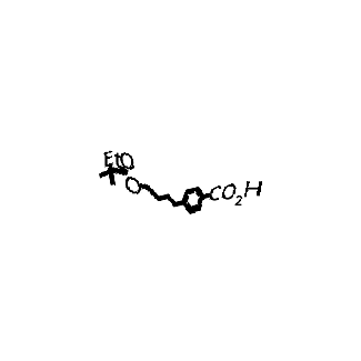 CCC(C)(C)C(=O)OCCCCc1ccc(C(=O)O)cc1